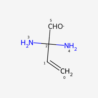 C=CC(N)(N)[C]=O